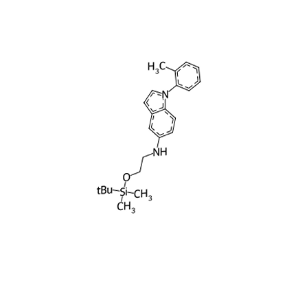 Cc1ccccc1-n1ccc2cc(NCCO[Si](C)(C)C(C)(C)C)ccc21